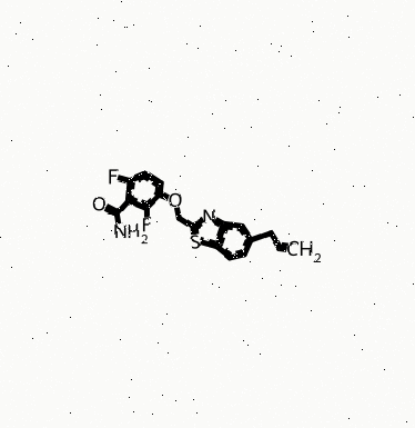 C=CCc1ccc2sc(COc3ccc(F)c(C(N)=O)c3F)nc2c1